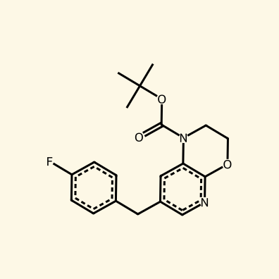 CC(C)(C)OC(=O)N1CCOc2ncc(Cc3ccc(F)cc3)cc21